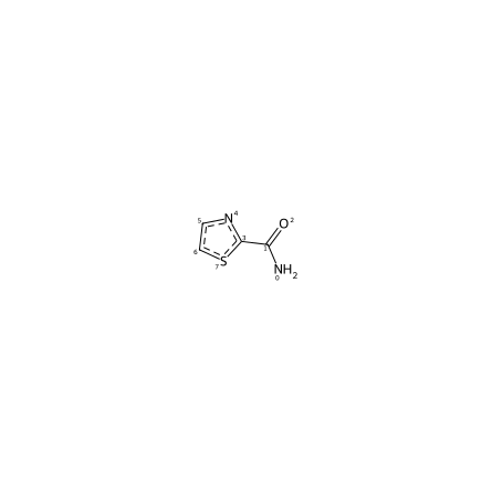 NC(=O)c1nccs1